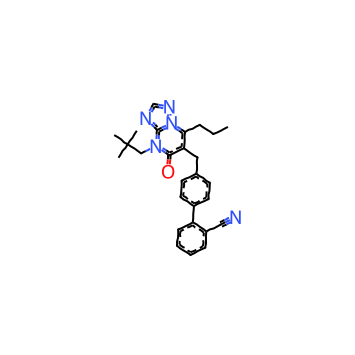 CCCc1c(Cc2ccc(-c3ccccc3C#N)cc2)c(=O)n(CC(C)(C)C)c2ncnn12